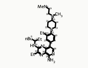 CCCCC(CC)Nc1nc2c(-c3ccc(N4CCC(N(C)CCNC)CC4)c(CC)c3)cnc(N)c2nc1CC